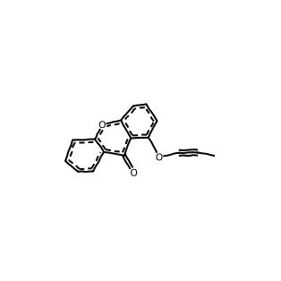 CC#COc1cccc2oc3ccccc3c(=O)c12